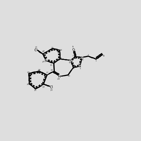 C=CCn1nc2n(c1=O)-c1ccc(Cl)nc1C(c1ccccc1Cl)=NC2